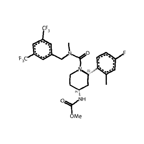 COC(=O)N[C@@H]1CCN(C(=O)N(C)Cc2cc(C(F)(F)F)cc(C(F)(F)F)c2)[C@H](c2ccc(F)cc2C)C1